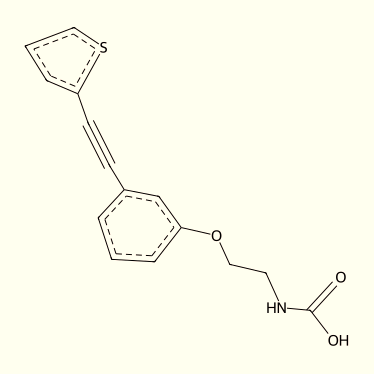 O=C(O)NCCOc1cccc(C#Cc2cccs2)c1